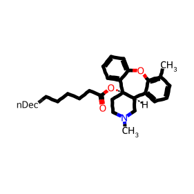 CCCCCCCCCCCCCCCC(=O)O[C@@]12CCN(C)C[C@@H]1c1cccc(C)c1Oc1ccccc12